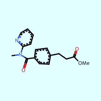 COC(=O)CCc1ccc(C(=O)N(C)c2ccccn2)cc1